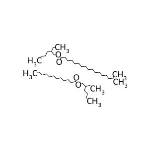 CCCCC(CC)COC(=O)CCCCCCCCCCCCCCC(C)C.CCCCCCCCCCCC(=O)OCC(CC)CCCC